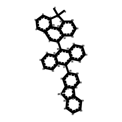 CC1(C)c2cccc3cc(-c4c5ccccc5c(-c5ccc6c(c5)sc5ccccc56)c5ccccc45)c4cccc1c4c23